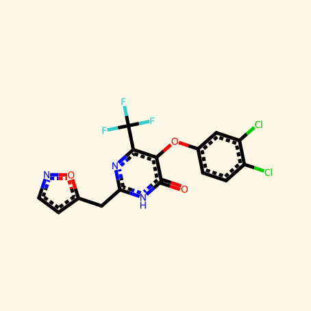 O=c1[nH]c(Cc2ccno2)nc(C(F)(F)F)c1Oc1ccc(Cl)c(Cl)c1